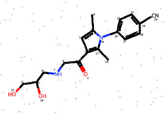 Cc1cc(C(=O)CNCC(O)CO)c(C)n1-c1ccc(C#N)cc1